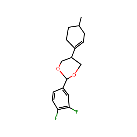 CC1CC=C(C2COC(c3ccc(F)c(F)c3)OC2)CC1